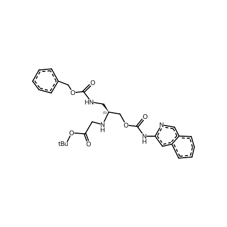 CC(C)(C)OC(=O)CN[C@@H](CNC(=O)OCc1ccccc1)COC(=O)Nc1cc2ccccc2cn1